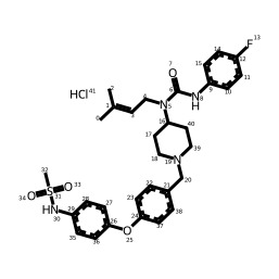 CC(C)=CCN(C(=O)Nc1ccc(F)cc1)C1CCN(Cc2ccc(Oc3ccc(NS(C)(=O)=O)cc3)cc2)CC1.Cl